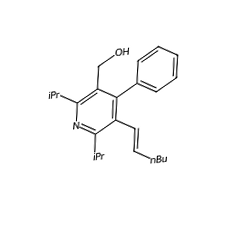 CCCCC=Cc1c(C(C)C)nc(C(C)C)c(CO)c1-c1ccccc1